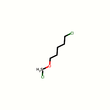 ClCCCCCO[SiH2]Cl